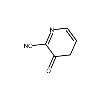 N#CC1=NC=CCC1=O